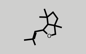 CC(C)=CC1OCC2(C)CCC(C)(C)C12